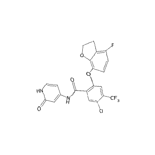 O=C(Nc1cc[nH]c(=O)c1)c1cc(Cl)c(C(F)(F)F)cc1Oc1ccc(F)c2c1OCC2